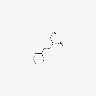 CC(CC#N)CCC1CCCCC1